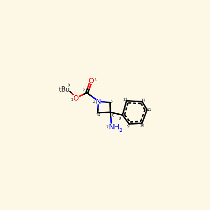 CC(C)(C)OC(=O)N1CC(N)(c2ccccc2)C1